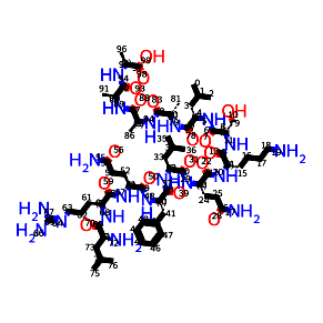 CC(C)C[C@H](NC(=O)[C@H](CO)NC(=O)[C@H](CCCCN)NC(=O)[C@H](CCC(N)=O)NC(=O)[C@H](CC(C)C)NC(=O)[C@H](Cc1ccccc1)NC(=O)[C@H](CCC(N)=O)NC(=O)[C@H](CCCN=C(N)N)NC(=O)[C@@H](N)CC(C)C)C(=O)N[C@@H](C)C(=O)N[C@@H](C)C(=O)N[C@@H](C)C(=O)N[C@@H](C)C(=O)O